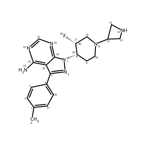 Cc1ccc(-c2nn([C@H]3CCN(C4CNC4)C[C@H]3F)c3ncnc(N)c23)cc1